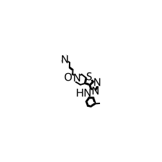 Cc1cccc(Nc2ncnc3sc4c(c23)CCN(C(=O)C=CCN(C)C)C4)c1